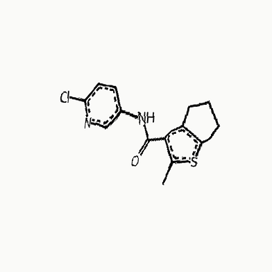 Cc1sc2c(c1C(=O)Nc1ccc(Cl)nc1)CCC2